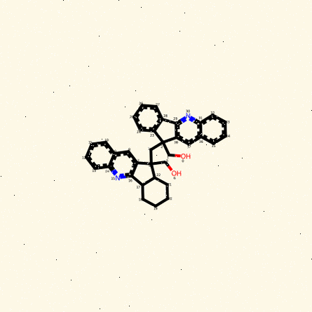 OCC1(CC2(CO)c3cc4ccccc4nc3C3CCCCC32)c2ccccc2-c2nc3ccccc3cc21